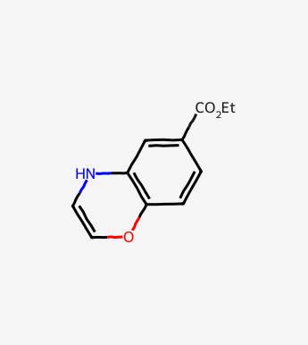 CCOC(=O)c1ccc2c(c1)NC=CO2